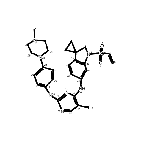 C=CS(=O)(=O)N1CC2(CC2)c2ccc(Nc3nc(Nc4ccc(N5CCN(C)CC5)cc4)ncc3F)cc21